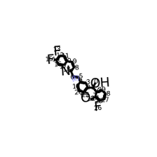 OC1c2cc(/C=C/c3ccc4cc(F)c(F)cc4n3)ccc2OCc2c(F)cccc21